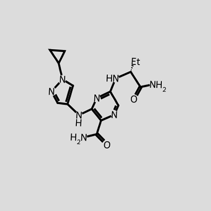 CC[C@@H](Nc1cnc(C(N)=O)c(Nc2cnn(C3CC3)c2)n1)C(N)=O